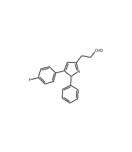 O=CCCc1cc(-c2ccc(F)cc2)n(-c2ccccc2)n1